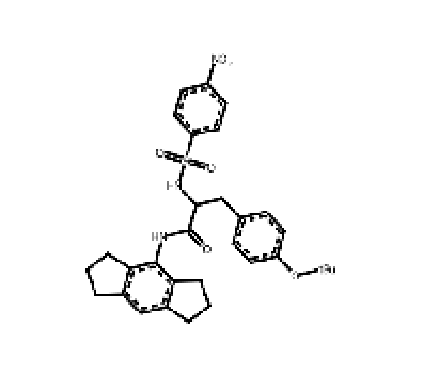 CC(C)(C)Oc1ccc(CC(NS(=O)(=O)c2ccc([N+](=O)[O-])cc2)C(=O)Nc2c3c(cc4c2CCC4)CCC3)cc1